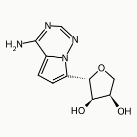 Nc1ncnn2c([C@@H]3OC[C@@H](O)[C@H]3O)ccc12